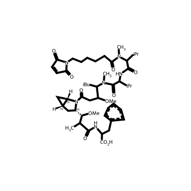 CCC(C)C(C(CC(=O)N1[C@H](C(OC)C(C)C(=O)NC(Cc2ccccc2)C(=O)O)C[C@@H]2C[C@@H]21)OC)N(C)C(=O)C(NC(=O)C(C(C)C)N(C)C(=O)CCCCCN1C(=O)C=CC1=O)C(C)C